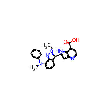 CCn1nc2c(N(C)c3ccccc3)cccc2c1-c1cc2nccc(C(=O)O)c2[nH]1